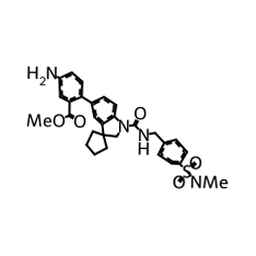 CNS(=O)(=O)c1ccc(CNC(=O)N2CC3(CCCC3)c3cc(-c4ccc(N)cc4C(=O)OC)ccc32)cc1